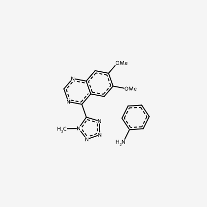 COc1cc2ncnc(-c3nnnn3C)c2cc1OC.Nc1ccccc1